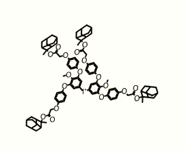 COc1c(Oc2ccc(OCC(=O)OC3(C)C4CC5CC(C4)CC3C5)cc2)cc([I+]c2cc(Oc3ccc(OCC(=O)OC4(C)C5CC6CC(C5)CC4C6)cc3)c(OC)c(Oc3ccc(OCC(=O)OC4(C)C5CC6CC(C5)CC4C6)cc3)c2)cc1Oc1ccc(OCC(=O)OC2(C)C3CC4CC(C3)CC2C4)cc1